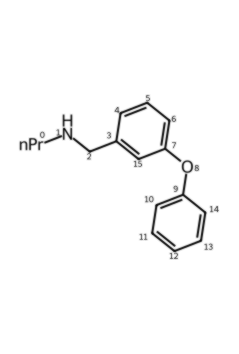 CCCNCc1cccc(Oc2ccccc2)c1